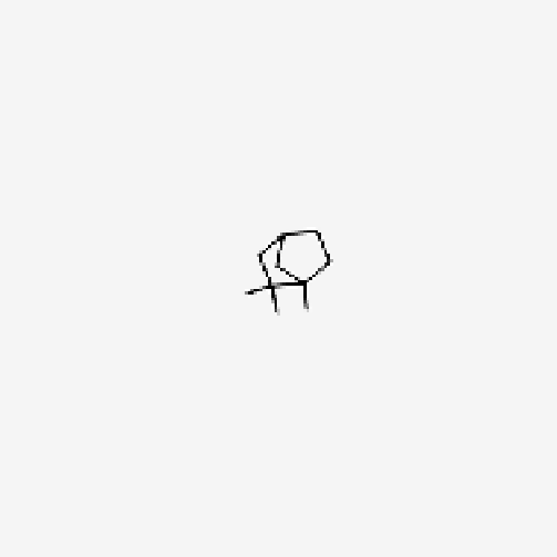 OC1(F)CC2CCC1(F)C2